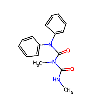 CNC(=O)N(C)C(=O)N(c1ccccc1)c1ccccc1